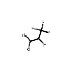 FC(C(Cl)Cl)C(F)(F)F